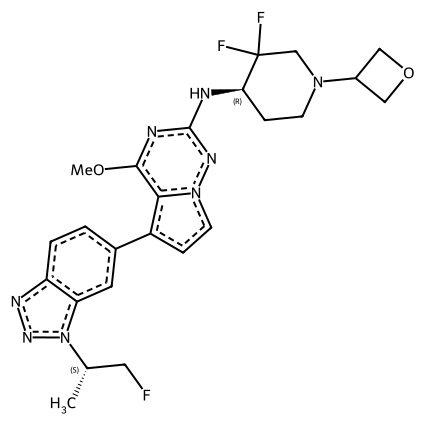 COc1nc(N[C@@H]2CCN(C3COC3)CC2(F)F)nn2ccc(-c3ccc4nnn([C@@H](C)CF)c4c3)c12